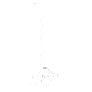 CCCCCCCCCCCCCCCC(=O)ON1C(C)(C)CCCC1(C)C